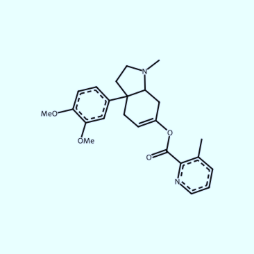 COc1ccc(C23CC=C(OC(=O)c4ncccc4C)CC2N(C)CC3)cc1OC